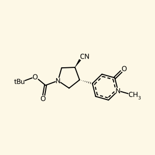 Cn1ccc([C@@H]2CN(C(=O)OC(C)(C)C)C[C@H]2C#N)cc1=O